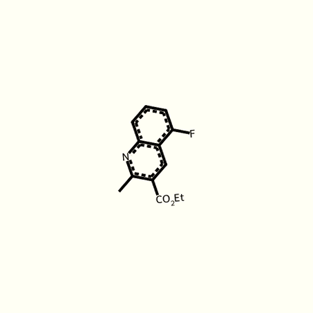 CCOC(=O)c1cc2c(F)cccc2nc1C